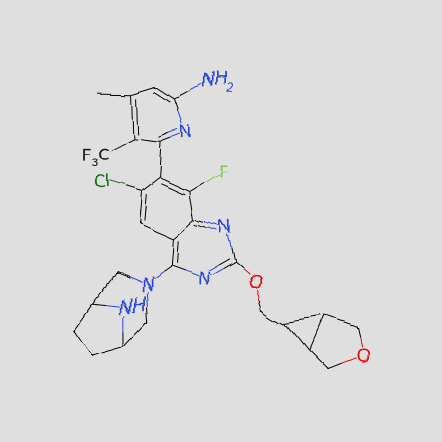 Cc1cc(N)nc(-c2c(Cl)cc3c(N4CC5CCC(C4)N5)nc(OCC4C5COCC54)nc3c2F)c1C(F)(F)F